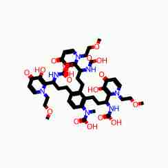 COCCn1ccc(=O)c(O)c1C(CCc1ccc(N(C)C(=O)O)c(CCC(NC(=O)O)c2c(O)c(=O)ccn2CCOC)c1CCC(NC(=O)O)c1c(O)c(=O)ccn1CCOC)NC(=O)O